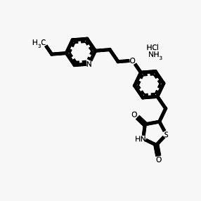 CCc1ccc(CCOc2ccc(CC3SC(=O)NC3=O)cc2)nc1.Cl.N